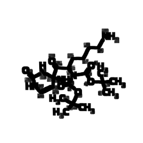 CC(C)(C)OC(=O)N(C(=O)OC(C)(C)C)C(CCCCN)C(=O)C1(N)C=CNC(=O)N1